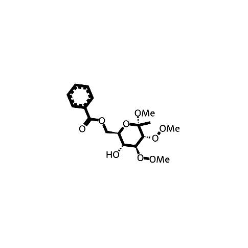 COO[C@H]1[C@H](O)[C@@H](COC(=O)c2ccccc2)O[C@](C)(OC)[C@@H]1OOC